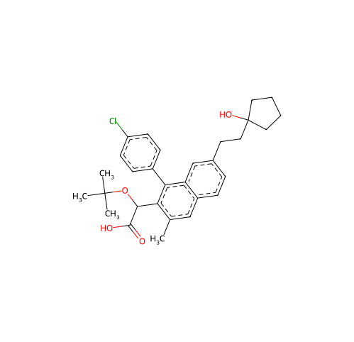 Cc1cc2ccc(CCC3(O)CCCC3)cc2c(-c2ccc(Cl)cc2)c1C(OC(C)(C)C)C(=O)O